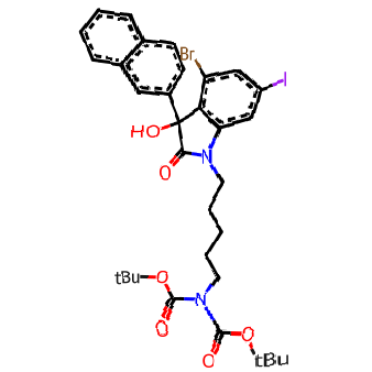 CC(C)(C)OC(=O)N(CCCCCN1C(=O)C(O)(c2ccc3ccccc3c2)c2c(Br)cc(I)cc21)C(=O)OC(C)(C)C